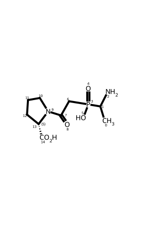 CC(N)P(=O)(O)CC(=O)N1CCC[C@H]1C(=O)O